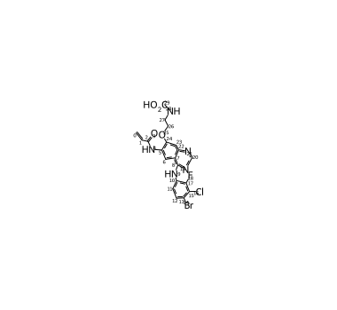 C=CC(=O)Nc1cc2c(Nc3ccc(Br)c(Cl)c3F)ncnc2cc1OCCNC(=O)O